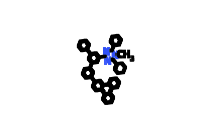 CN1C(C2=CCCCC2)=NC(c2cc(-c3ccccc3)cc(-c3cccc(-c4ccc5c6ccccc6c6ccccc6c5c4)c3)c2)=NC1c1ccccc1